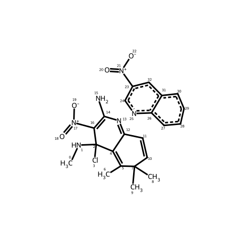 CNC1(Cl)C2=C(C)C(C)(C)C=CC2=NC(N)=C1[N+](=O)[O-].O=[N+]([O-])c1cnc2ccccc2c1